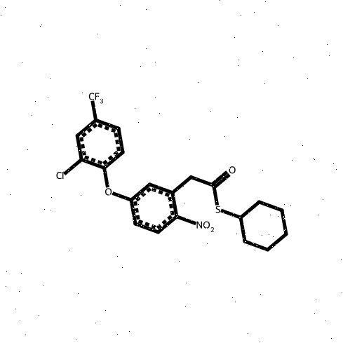 O=C(Cc1cc(Oc2ccc(C(F)(F)F)cc2Cl)ccc1[N+](=O)[O-])SC1CCCCC1